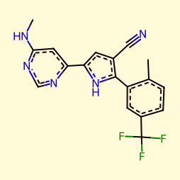 CNc1cc(-c2cc(C#N)c(-c3cc(C(F)(F)F)ccc3C)[nH]2)ncn1